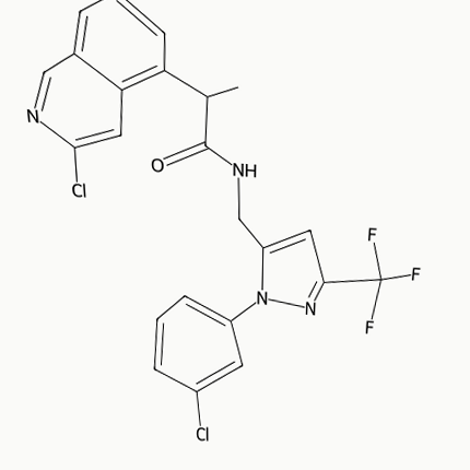 CC(C(=O)NCc1cc(C(F)(F)F)nn1-c1cccc(Cl)c1)c1cccc2cnc(Cl)cc12